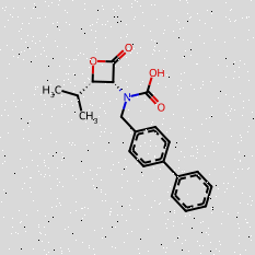 CC(C)[C@@H]1OC(=O)[C@@H]1N(Cc1ccc(-c2ccccc2)cc1)C(=O)O